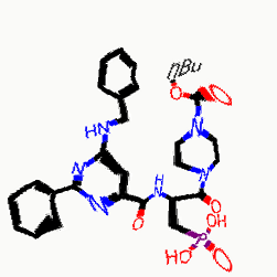 CCCCOC(=O)N1CCN(C(=O)C(CP(=O)(O)O)NC(=O)c2cc(NCc3ccccc3)nc(-c3ccccc3)n2)CC1